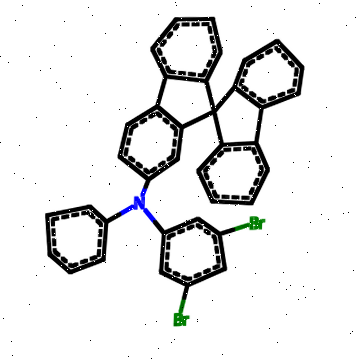 Brc1cc(Br)cc(N(c2ccccc2)c2ccc3c(c2)C2(c4ccccc4-c4ccccc42)c2ccccc2-3)c1